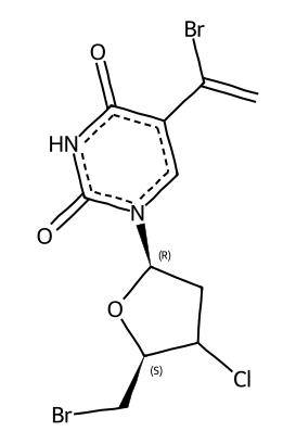 C=C(Br)c1cn([C@H]2CC(Cl)[C@@H](CBr)O2)c(=O)[nH]c1=O